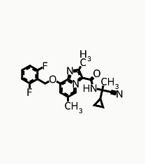 Cc1cc(OCc2c(F)cccc2F)c2nc(C)c(C(=O)NC(C)(C#N)C3CC3)n2c1